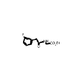 CCOC(=O)CNC(=O)Cc1cccc(F)c1